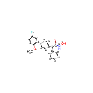 COc1ccc(F)cc1-c1ccc(C(C(=O)NO)c2ccccc2)cc1